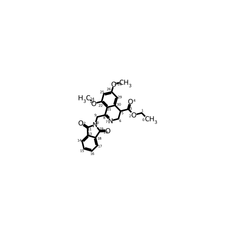 CCOC(=O)C1CN=C(CN2C(=O)c3ccccc3C2=O)c2c(OC)cc(OC)cc21